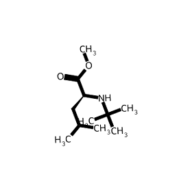 COC(=O)[C@H](CC(C)C)NC(C)(C)C